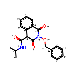 CC(C)NC(=O)C1C(=O)N(OCc2ccccc2)C(=O)c2ccccc21